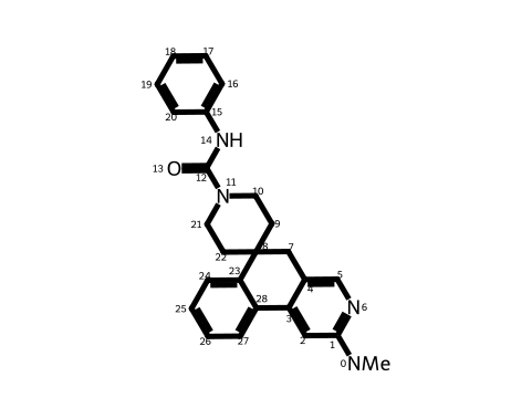 CNc1cc2c(cn1)CC1(CCN(C(=O)Nc3ccccc3)CC1)c1ccccc1-2